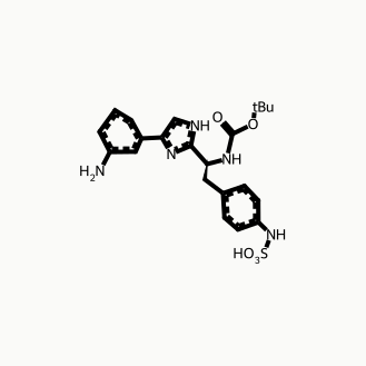 CC(C)(C)OC(=O)N[C@@H](Cc1ccc(NS(=O)(=O)O)cc1)c1nc(-c2cccc(N)c2)c[nH]1